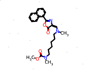 COC(=O)N(C)CCCCCCN(C)/C=C1/N=C(c2cccc3ccccc23)OC1=O